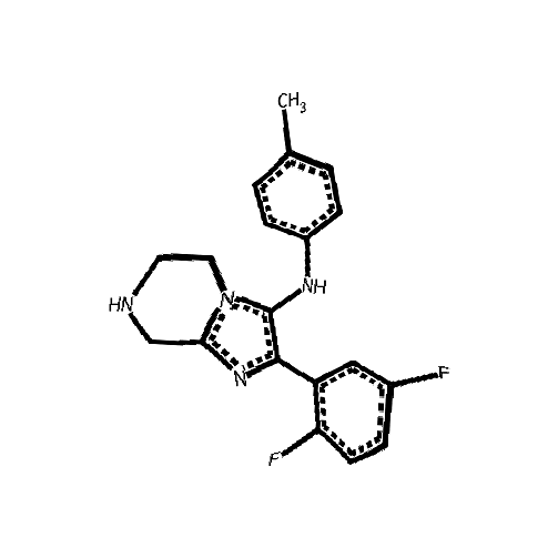 Cc1ccc(Nc2c(-c3cc(F)ccc3F)nc3n2CCNC3)cc1